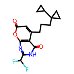 O=c1cc(CCCC2(C3CC3)CC2)c2c(=O)[nH]c(C(F)F)nc2o1